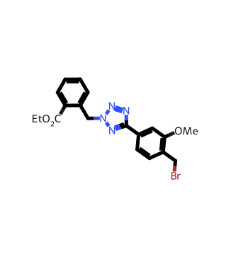 CCOC(=O)c1ccccc1Cn1nnc(-c2ccc(CBr)c(OC)c2)n1